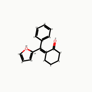 O=C1CCCCC1=C(c1ccccc1)c1ccco1